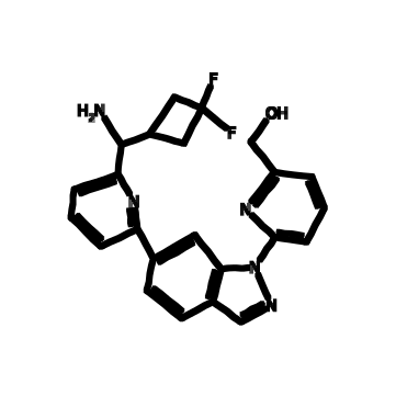 NC(c1cccc(-c2ccc3cnn(-c4cccc(CO)n4)c3c2)n1)C1CC(F)(F)C1